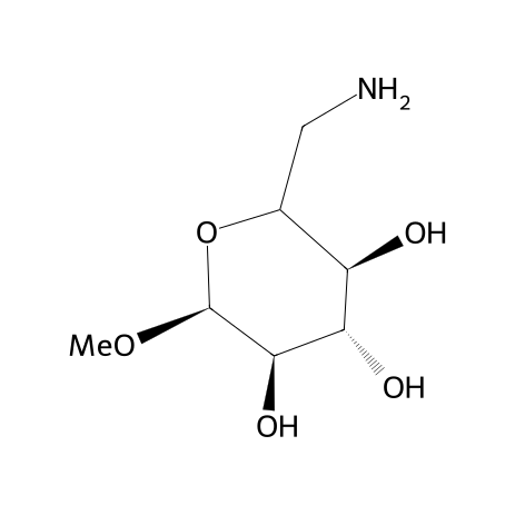 CO[C@H]1OC(CN)[C@@H](O)[C@H](O)[C@H]1O